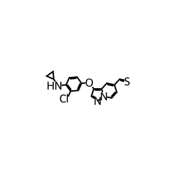 S=Cc1ccn2ncc(Oc3ccc(NC4CC4)c(Cl)c3)c2c1